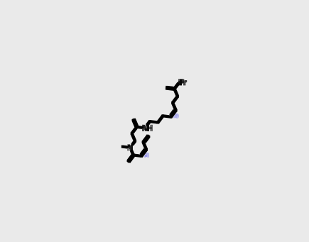 C=C/C=C\C(=C)N(C)CCC(=C)NCCC/C=C\CCC(=C)C(C)C